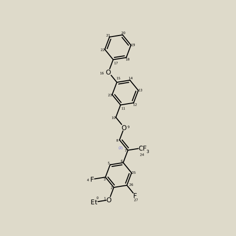 CCOc1c(F)cc(/C(=C/OCc2cccc(Oc3ccccc3)c2)C(F)(F)F)cc1F